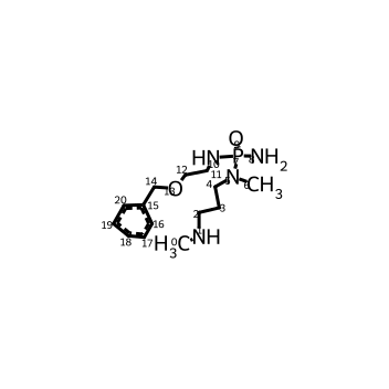 CNCCCN(C)P(N)(=O)NCCOCc1ccccc1